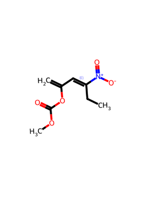 C=C(/C=C(\CC)[N+](=O)[O-])OC(=O)OC